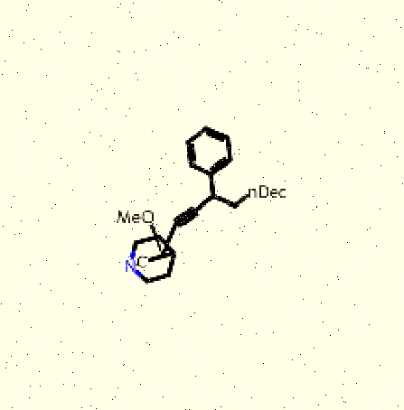 CCCCCCCCCCCC(C#C[C@@]1(OC)CN2CCC1CC2)c1ccccc1